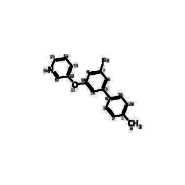 Cc1ccc(-c2cc(F)cc(Oc3cccnc3)c2)cc1